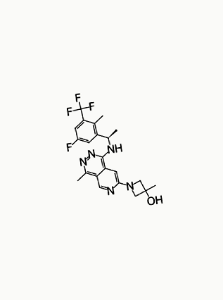 Cc1c([C@@H](C)Nc2nnc(C)c3cnc(N4CC(C)(O)C4)cc23)cc(F)cc1C(F)(F)F